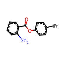 CC(C)c1ccc(OC(=O)c2ccccc2N)cc1